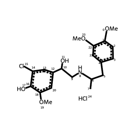 COc1ccc(CC(C)NCC(O)c2cc(Cl)c(O)c(OC)c2)cc1OC.Cl